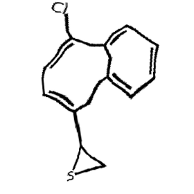 Clc1ccc(C2CS2)c2ccccc12